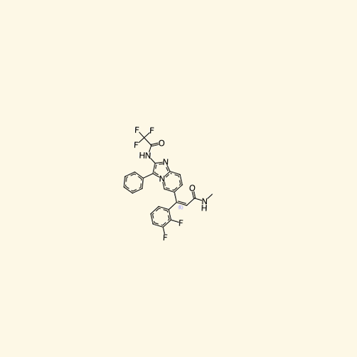 CNC(=O)/C=C(\c1ccc2nc(NC(=O)C(F)(F)F)c(-c3ccccc3)n2c1)c1cccc(F)c1F